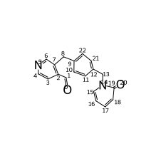 O=Cc1ccncc1Cc1ccc(Cn2ccccc2=O)cc1